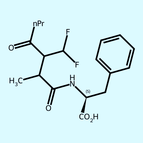 CCCC(=O)C(C(F)F)C(C)C(=O)N[C@@H](Cc1ccccc1)C(=O)O